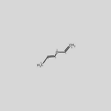 C=COC=CC